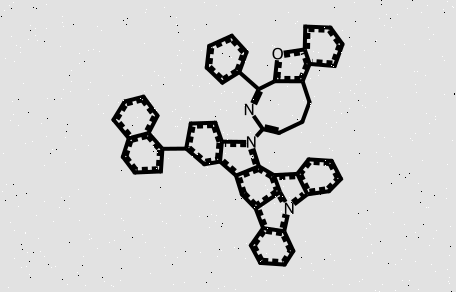 C1=C(n2c3ccc(-c4cccc5ccccc45)cc3c3cc4c5ccccc5n5c6ccccc6c(c32)c45)\N=C(\c2ccccc2)c2oc3ccccc3c2CC/1